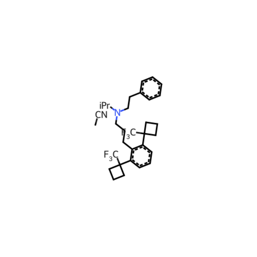 CC#N.CC(C)N(CCCc1c(C2(C(F)(F)F)CCC2)cccc1C1(C(F)(F)F)CCC1)CCc1ccccc1